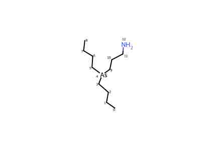 CCCC[As](CCCC)CCCN